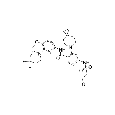 O=C(Nc1ccc2c(n1)N1CCC(F)(F)CC1CO2)c1ccc(NS(=O)(=O)CCO)cc1N1CCC2(CC1)CC2